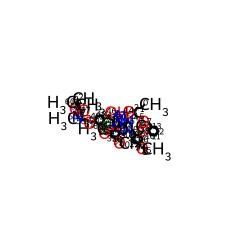 CCCC(CCOCc1ccccc1)Oc1nc(N(Cc2ccc(OC)cc2OC)Cc2ccc(OC)cc2OC)c2ncc(C(O)c3ccc(OCCN(C)C(=O)OC(C)(C)C)cc3F)n2n1